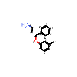 Cc1cccc(O[C@H](CCN)c2ccccc2)c1